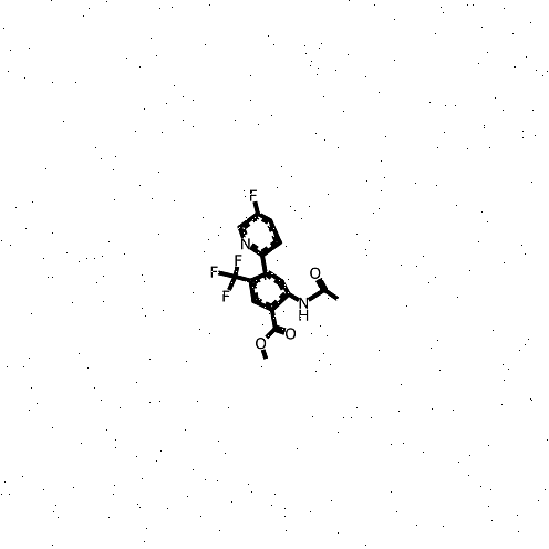 COC(=O)c1cc(C(F)(F)F)c(-c2ccc(F)cn2)cc1NC(C)=O